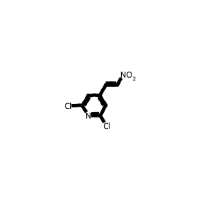 O=[N+]([O-])/C=C/c1cc(Cl)nc(Cl)c1